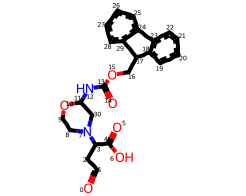 O=CCC(C(=O)O)N1CCOC(NC(=O)OCC2c3ccccc3-c3ccccc32)C1